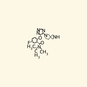 CCN(C(=O)c1cc(F)ccc1Oc1nncnc1N1CCC2(CNC2)C1)C(C)C